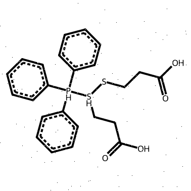 O=C(O)CCS[SH](CCC(=O)O)[PH](c1ccccc1)(c1ccccc1)c1ccccc1